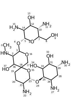 CNC1C(O[C@H]2OC(CO)[C@@H](N)C(O)C2N)OCC2(CCC(N)[C@@H](O[C@@H]3C(N)C[C@@H](N)C(O)C3O)O2)C1O